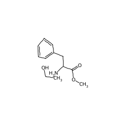 CCO.COC(=O)C(N)Cc1ccccc1